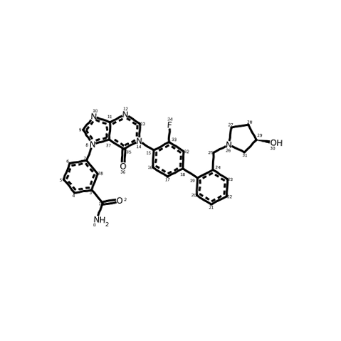 NC(=O)c1cccc(-n2cnc3ncn(-c4ccc(-c5ccccc5CN5CC[C@@H](O)C5)cc4F)c(=O)c32)c1